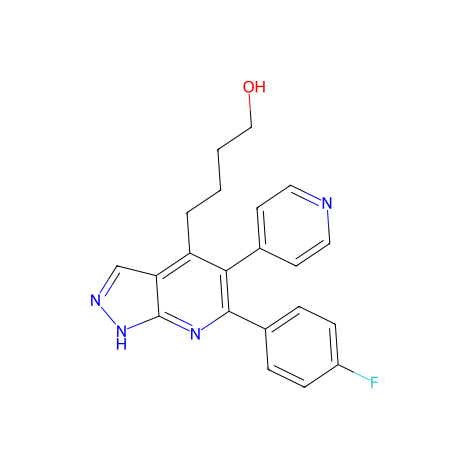 OCCCCc1c(-c2ccncc2)c(-c2ccc(F)cc2)nc2[nH]ncc12